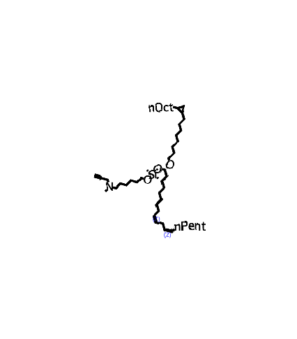 C#CCN(C)CCCCCCO[Si](C)(C)OC(CCCCCCC/C=C\C/C=C\CCCCC)OCCCCCCCCC1CC1CCCCCCCC